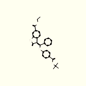 CCOC(=O)c1ccc2c(c1)NC(=O)/C2=C(\Nc1ccc(C(=O)OC(C)(C)C)cc1)c1ccccc1